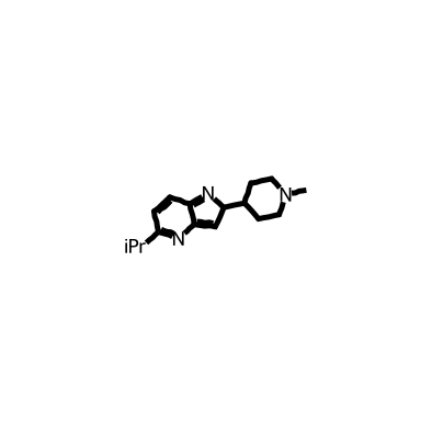 CC(C)c1ccc2c(n1)=CC(C1CCN(C)CC1)N=2